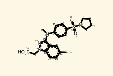 CN(c1ccc(S(=O)(=O)N2CCCC2)cc1)c1nn(CC(=O)O)c2ccc(F)cc12